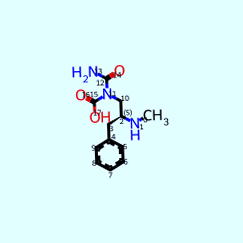 CN[C@@H](Cc1ccccc1)CN(C(N)=O)C(=O)O